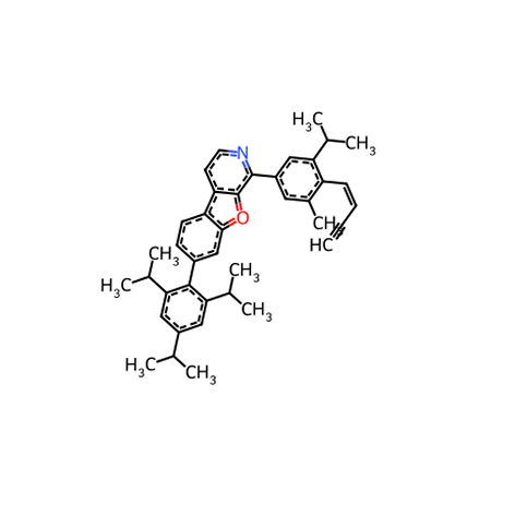 C#C/C=C\c1c(C)cc(-c2nccc3c2oc2cc(-c4c(C(C)C)cc(C(C)C)cc4C(C)C)ccc23)cc1C(C)C